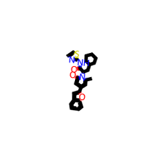 Cc1cc(-c2cc3ccccc3o2)cc(=O)n1C(CC1CCCCC1)C(=O)Nc1nccs1